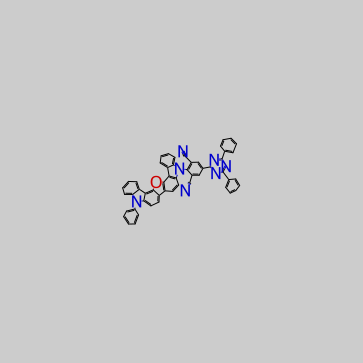 N#Cc1cc(-c2nc(-c3ccccc3)nc(-c3ccccc3)n2)cc(C#N)c1-n1c2ccccc2c2c3oc4c(ccc5c4c4ccccc4n5-c4ccccc4)c3ccc21